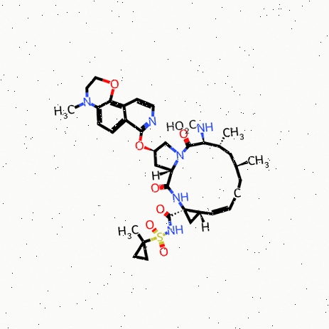 C[C@H]1CCC=C[C@@H]2C[C@@]2(C(=O)NS(=O)(=O)C2(C)CC2)NC(=O)[C@@H]2C[C@@H](Oc3nccc4c5c(ccc34)N(C)CCO5)CN2C(=O)[C@@H](NC(=O)O)[C@H](C)C1